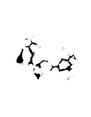 C[C@H](NC(=O)c1cc(OC(F)(F)F)cc(C2(C#N)CC2)c1)c1ncnn1-c1cc(C(=O)N(C)C)ncn1